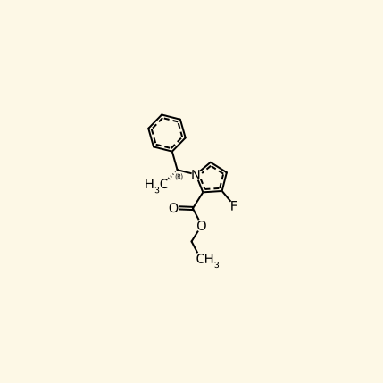 CCOC(=O)c1c(F)ccn1[C@H](C)c1ccccc1